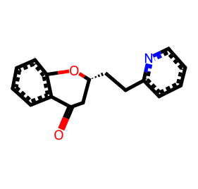 O=C1C[C@@H](CCc2ccccn2)Oc2ccccc21